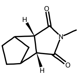 CN1C(=O)[C@@H]2C3CCC(C3)[C@@H]2C1=O